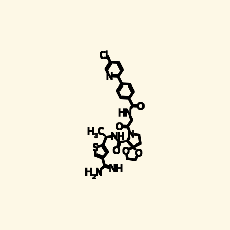 C[C@H](NC(=O)[C@H]1N(C(=O)CNC(=O)c2ccc(-c3ccc(Cl)cn3)cc2)CCC12OCCO2)c1cc(C(=N)N)cs1